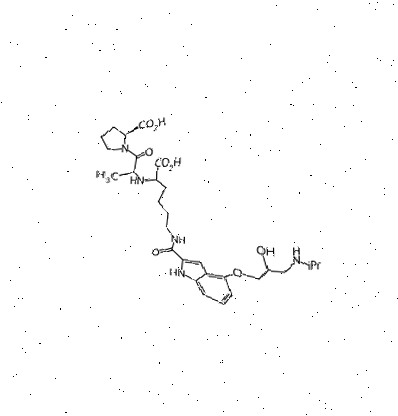 CC(C)NCC(O)COc1cccc2[nH]c(C(=O)NCCCCC(N[C@@H](C)C(=O)N3CCC[C@H]3C(=O)O)C(=O)O)cc12